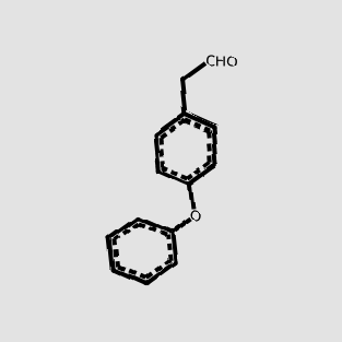 O=CCc1ccc(Oc2ccccc2)cc1